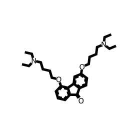 CCN(CC)CCCCOc1ccc2c(c1)-c1c(OCCCCN(CC)CC)cccc1C2=O